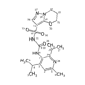 Cc1cc(C(C)C)c(NC(=O)NS(=O)(=O)c2cnn3c2OCCC3)c(C(C)C)n1